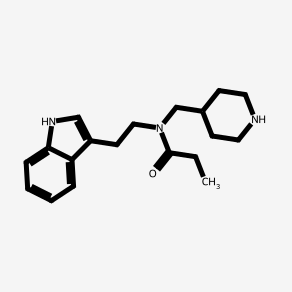 CCC(=O)N(CCc1c[nH]c2ccccc12)CC1CCNCC1